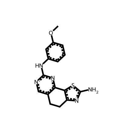 COc1cccc(Nc2ncc3c(n2)-c2sc(N)nc2CC3)c1